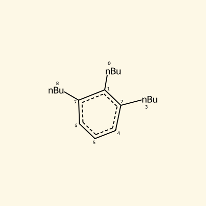 [CH2]CCCc1c(CCCC)cccc1CCCC